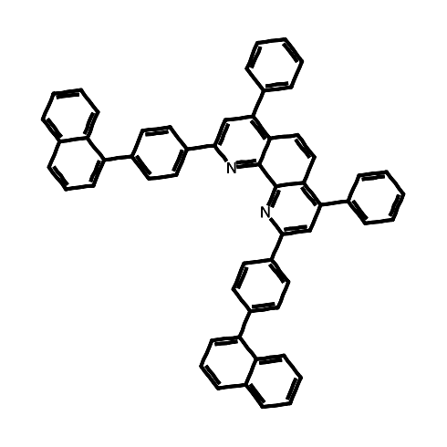 c1ccc(-c2cc(-c3ccc(-c4cccc5ccccc45)cc3)nc3c2ccc2c(-c4ccccc4)cc(-c4ccc(-c5cccc6ccccc56)cc4)nc23)cc1